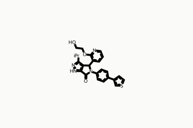 CC(C)c1n[nH]c2c1C(c1cccnc1OCCO)N(c1ccc(-c3ccsc3)cc1)C2=O